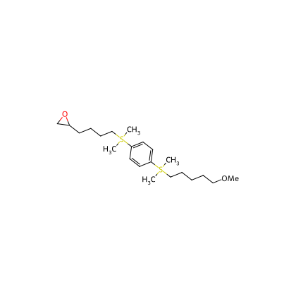 COCCCCCS(C)(C)c1ccc(S(C)(C)CCCCC2CO2)cc1